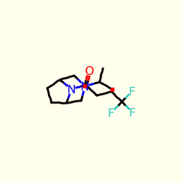 CC(C)N1CC2CCC(C1)N2C(=O)CCC(F)(F)F